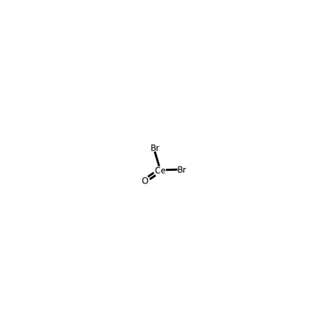 [O]=[Ce]([Br])[Br]